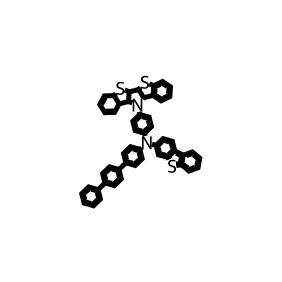 C1=CC2SC3C4Sc5ccccc5C4N(c4ccc(N(c5ccc(-c6ccc(-c7ccccc7)cc6)cc5)c5ccc6c(c5)sc5ccccc56)cc4)C3C2C=C1